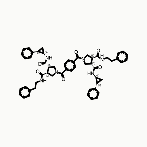 O=C(NCCc1ccccc1)[C@@H]1CN(C(=O)c2ccc(C(=O)N3C[C@@H](C(=O)NCCc4ccccc4)[C@H](C(=O)N[C@H]4C[C@@H]4c4ccccc4)C3)cc2)C[C@H]1C(=O)N[C@H]1C[C@@H]1c1ccccc1